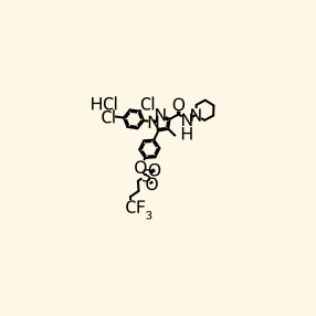 Cc1c(C(=O)NN2CCCCC2)nn(-c2ccc(Cl)cc2Cl)c1-c1ccc(OS(=O)(=O)CCCC(F)(F)F)cc1.Cl